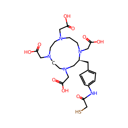 O=C(O)CN1CCN(CC(=O)O)CCN(CC(=O)O)[C@@H](Cc2ccc(NC(=O)CS)cc2)CN(CC(=O)O)CC1